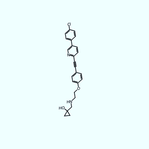 OC1(CNCCOc2ccc(C#Cc3ccc(-c4ccc(Cl)cc4)cn3)cc2)CC1